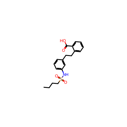 CCCCS(=O)(=O)Nc1cccc(CCc2ccccc2C(=O)O)c1